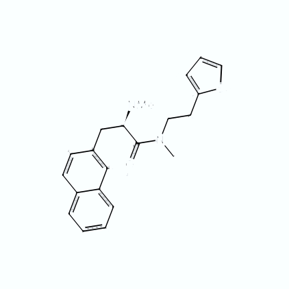 CN[C@H](Cc1ccc2ccccc2c1)C(=O)N(C)CCc1cccs1